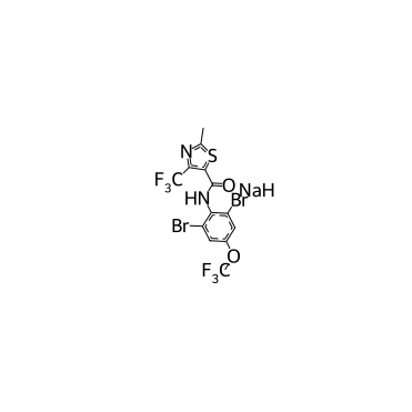 Cc1nc(C(F)(F)F)c(C(=O)Nc2c(Br)cc(OC(F)(F)F)cc2Br)s1.[NaH]